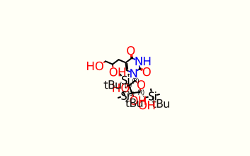 CC(C)(C)[Si](C)(C)C(O)[C@H]1O[C@@H](n2cc(CC(O)CO)c(=O)[nH]c2=O)[C@@](O)([Si](C)(C)C(C)(C)C)[C@@]1(O)[Si](C)(C)C(C)(C)C